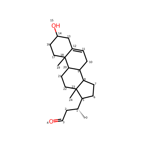 C[C@H](CC=O)C1CCC2C3CC=C4CC(O)CCC4(C)C3CCC21C